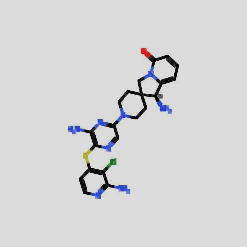 Nc1nc(N2CCC3(CC2)Cn2c(cccc2=O)[C@H]3N)cnc1Sc1ccnc(N)c1Cl